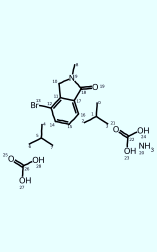 CC(C)C.CC(C)C.CN1Cc2c(Br)cccc2C1=O.N.O=C(O)O.O=C(O)O